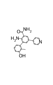 Cc1c(O)cccc1-c1cc(-c2ccncc2)cc(C(N)=O)c1N